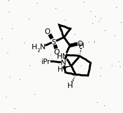 CC(C)N1C[C@H]2CC[C@@H](C1)[C@@H]2NC(=O)C1(S(N)(=O)=O)CC1